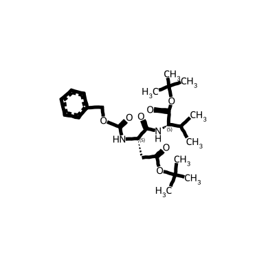 CC(C)[C@H](NC(=O)[C@H](CC(=O)OC(C)(C)C)NC(=O)OCc1ccccc1)C(=O)OC(C)(C)C